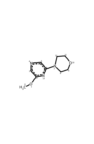 COc1cncc(N2CCOCC2)n1